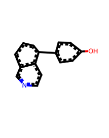 Oc1ccc(-c2cccc3cnccc23)cc1